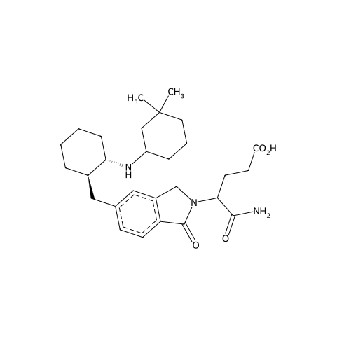 CC1(C)CCCC(N[C@H]2CCCC[C@@H]2Cc2ccc3c(c2)CN(C(CCC(=O)O)C(N)=O)C3=O)C1